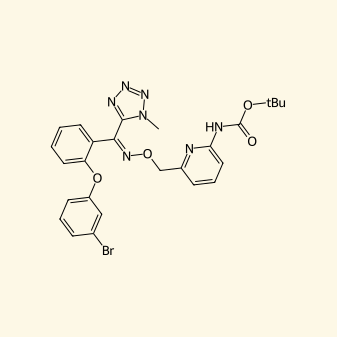 Cn1nnnc1/C(=N\OCc1cccc(NC(=O)OC(C)(C)C)n1)c1ccccc1Oc1cccc(Br)c1